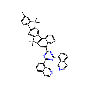 Cc1ccc2c(c1)C(C)(C)c1cc3c(cc1-2)C(C)(C)c1cc(-c2nc(-c4cccc5ccncc45)nc(-c4cccc5ccncc45)n2)c2ccccc2c1-3